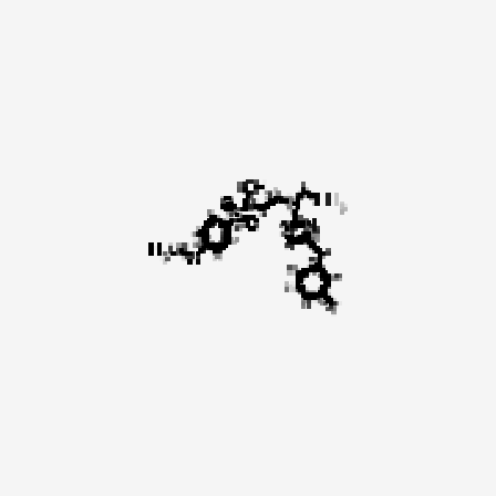 CCN(CCN(C)S(=O)(=O)c1ccc(OC)cc1)c1nc(Cc2cccc(F)c2)cs1